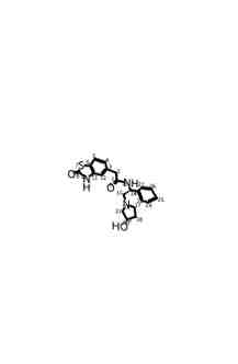 O=C(Cc1ccc2sc(=O)[nH]c2c1)N[C@H](CN1CC[C@H](O)C1)c1ccccc1